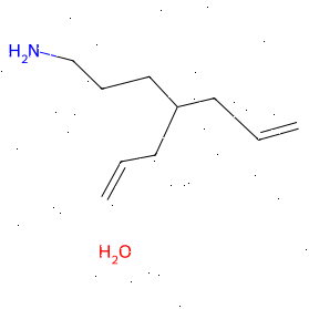 C=CCC(CC=C)CCCN.O